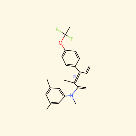 C=C/C(=C(/C)C(=C)N(C)c1cc(C)cc(C)c1)c1ccc(OC(C)(F)F)cc1